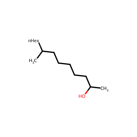 CCCCCCC(C)CCCCCC(C)O